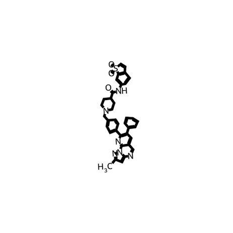 Cc1cc2ncc3cc(-c4ccccc4)c(-c4ccc(CN5CCC(C(=O)Nc6ccc7c(c6)S(=O)(=O)C=C7)CC5)cc4)nc3n2n1